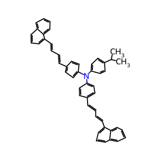 CC(C)c1ccc(N(c2ccc(C=CC=Cc3cccc4ccccc34)cc2)c2ccc(C=CC=Cc3cccc4ccccc34)cc2)cc1